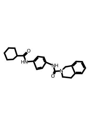 O=C(Nc1ccc(NC(=O)N2CCc3ccccc3C2)cc1)C1CCCCC1